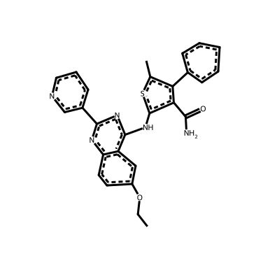 CCOc1ccc2nc(-c3cccnc3)nc(Nc3sc(C)c(-c4ccccc4)c3C(N)=O)c2c1